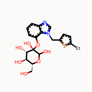 CCc1ccc(Cn2cnc3cccc(O[C@]4(O)C(O)O[C@H](CO)[C@@H](O)[C@@H]4O)c32)s1